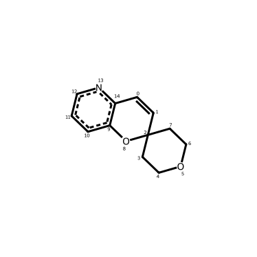 C1=CC2(CCOCC2)Oc2cccnc21